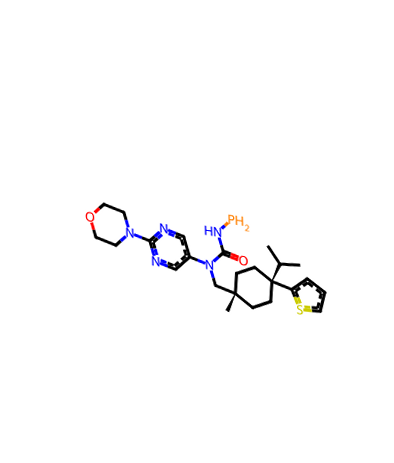 CC(C)[C@]1(c2cccs2)CC[C@@](C)(CN(C(=O)NP)c2cnc(N3CCOCC3)nc2)CC1